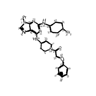 CC(C)n1cnc2c(NC3CCN(C(=O)COc4ccccc4)CC3)nc(NC3CCC(N)CC3)nc21